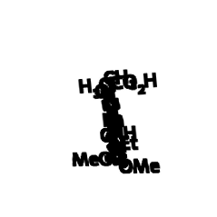 CCn1c(C(=O)Nc2ccc(N3CCN(C(=O)CC(C)(C)C(=O)O)CC3)nc2)cc2c(OC)cc(OC)cc21